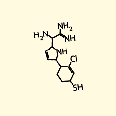 N=C(N)C(N)C1C=C[C@H](C2CCC(S)C=C2Cl)N1